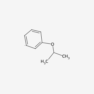 CC(C)Oc1c[c]ccc1